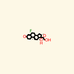 C[C@H]1CC2C3C[C@H](F)C4=CC(=O)CC[C@]4(C)C3=CC[C@]2(C)[C@@]1(O)C(=O)CO